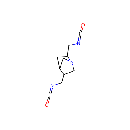 O=C=NCC1CN2CC1CC2CN=C=O